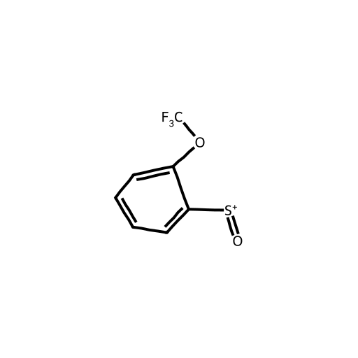 O=[S+]c1ccccc1OC(F)(F)F